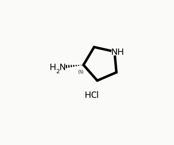 Cl.N[C@H]1CCNC1